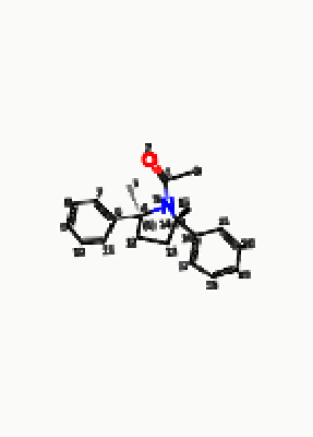 CC(=O)N1[C@](C)(c2ccccc2)CC[C@@]1(C)c1ccccc1